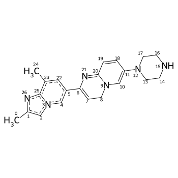 Cc1cn2cc(C3=CCN4C=C(N5CCNCC5)C=CC4=N3)cc(C)c2n1